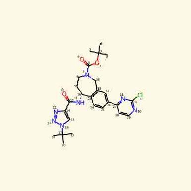 CC(C)(C)OC(=O)N1CC[C@@H](NC(=O)c2cn(C(C)(C)C)nn2)c2ccc(-c3ccnc(Cl)n3)cc2C1